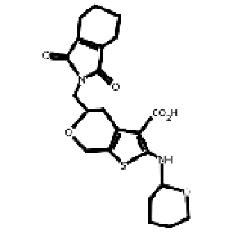 O=C(O)c1c(NC2CCCCO2)sc2c1CC(CN1C(=O)C3=C(CCCC3)C1=O)OC2